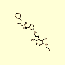 CCn1c(=C(C#N)C(=O)NCCF)sc(=CNc2cccc(NC(=O)CN(C)Cc3ccccc3)c2)c1=O